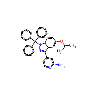 CC(C)OC1=CC2C(c3ccnc(N)c3)=NN(C(c3ccccc3)(c3ccccc3)c3ccccc3)C2C=C1